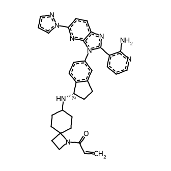 C=CC(=O)N1CCC12CCC(N[C@H]1CCc3cc(-n4c(-c5cccnc5N)nc5ccc(-n6cccn6)nc54)ccc31)CC2